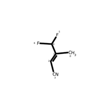 C/C(=C\C#N)C(F)F